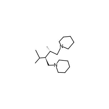 CC(C)[C@H](CN1CCCCC1)[C@H](C)CN1CCCCC1